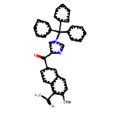 C=C(C)c1c(OC)ccc2cc(C(=O)c3cn(C(c4ccccc4)(c4ccccc4)c4ccccc4)cn3)ccc12